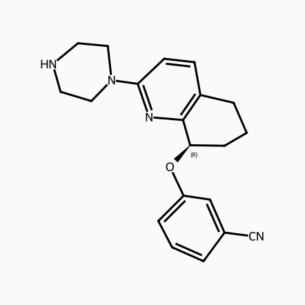 N#Cc1cccc(O[C@@H]2CCCc3ccc(N4CCNCC4)nc32)c1